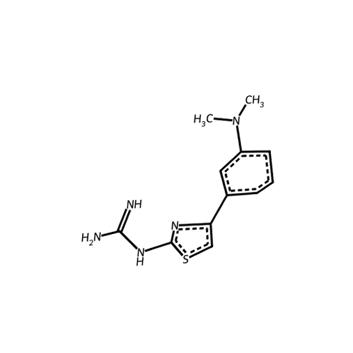 CN(C)c1cccc(-c2csc(NC(=N)N)n2)c1